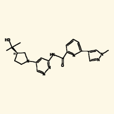 Cn1cc(-c2cccc(C(=O)Nc3cc(N4CC[C@@H](C(C)(C)O)C4)cnn3)n2)cn1